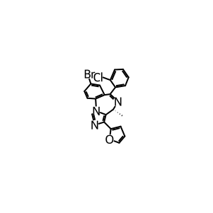 C[C@H]1N=C(c2ccccc2Cl)c2cc(Br)ccc2-n2cnc(-c3ccco3)c21